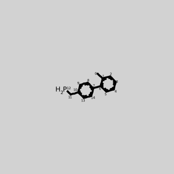 Cc1ccccc1-c1ccc(CP)cc1